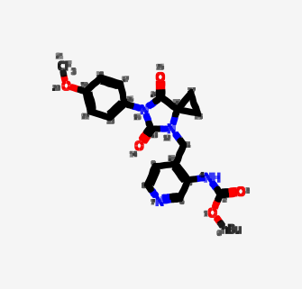 CCCCOC(=O)Nc1cnccc1CN1C(=O)N(c2ccc(OC(F)(F)F)cc2)C(=O)C12CC2